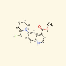 COC(=O)c1ccnc2ccc(N3CCCCC3CF)cc12